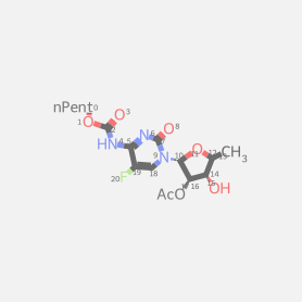 CCCCCOC(=O)Nc1nc(=O)n([C@@H]2OC(C)[C@@H](O)[C@H]2OC(C)=O)cc1F